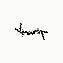 CCCCCCC(CCCC)CN1C(=O)/C(=C/c2ccc(-c3ccc(/C=C4\SC(=S)N(CC(CCCC)CCCCCC)C4=O)o3)o2)SC1=S